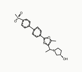 Cc1oc(-c2ccc(-c3ccc(S(C)(=O)=O)cc3)cc2)nc1C(C)N1CC[C@@H](O)C1